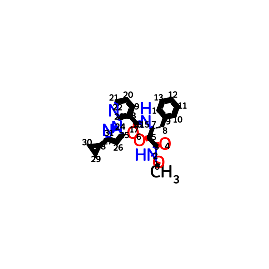 CONC(=O)C(=O)[C@@H](Cc1ccccc1)NC(=O)c1cccnc1-n1ccc(C2CC2)n1